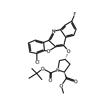 COC(=O)[C@@H]1C[C@@H](Oc2c3ccc(F)cc3nc3c2oc2c(Cl)cccc23)CN1C(=O)OC(C)(C)C